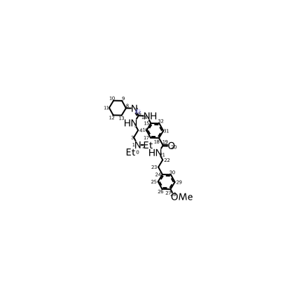 CCN(CC)CCN/C(=N\C1CCCCC1)Nc1ccc(C(=O)NCCc2ccc(OC)cc2)cc1